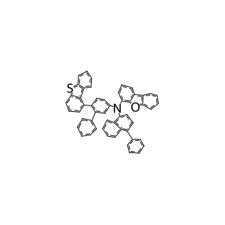 c1ccc(-c2cc(N(c3ccc(-c4ccccc4)c4ccccc34)c3cccc4c3oc3ccccc34)ccc2-c2cccc3sc4ccccc4c23)cc1